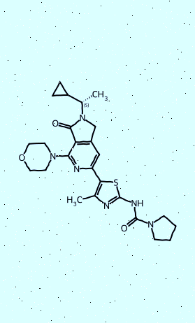 Cc1nc(NC(=O)N2CCCC2)sc1-c1cc2c(c(N3CCOCC3)n1)C(=O)N([C@@H](C)C1CC1)C2